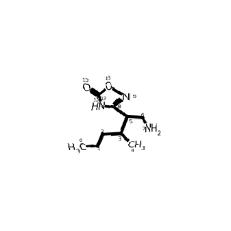 CCCC(C)C(CN)c1noc(=O)[nH]1